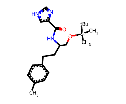 Cc1ccc(CCC(CO[Si](C)(C)C(C)(C)C)NC(=O)c2c[nH]cn2)cc1